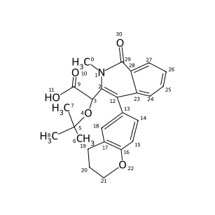 Cn1c(C(OC(C)(C)C)C(=O)O)c(-c2ccc3c(c2)CCCO3)c2ccccc2c1=O